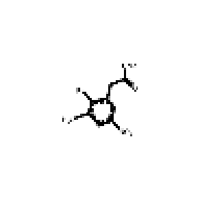 COC(=O)Cc1cc([N+](=O)[O-])cc(C)c1Br